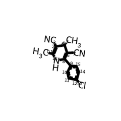 CC1=C(C#N)[C@@H](C)C(C#N)=C(c2ccc(Cl)cc2)N1